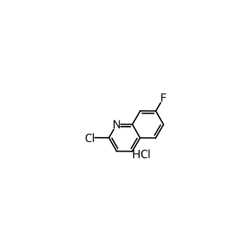 Cl.Fc1ccc2ccc(Cl)nc2c1